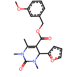 COc1cccc(COC(=O)C2=C(C)N(C)C(=O)N(C)C2c2ccco2)c1